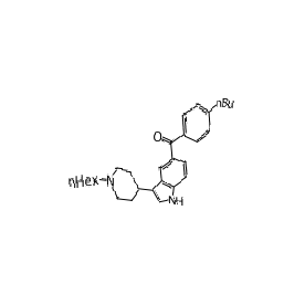 CCCCCCN1CCC(c2c[nH]c3ccc(C(=O)c4ccc(CCCC)cc4)cc23)CC1